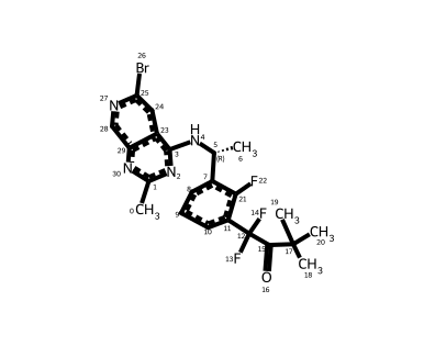 Cc1nc(N[C@H](C)c2cccc(C(F)(F)C(=O)C(C)(C)C)c2F)c2cc(Br)ncc2n1